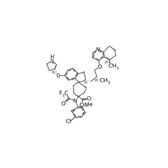 COC(=O)C1(N(C(=O)C(F)(F)F)c2cccc(Cl)c2)CCC2(CC1)c1cc(O[C@@H]3CCNC3)ccc1C[C@@H]2C[C@@H](C)COc1ccnc2c1[C@H](C)CCC2